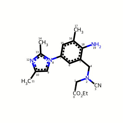 CCOC(=O)CN(C#N)Cc1cc(-n2cc(C)nc2C)cc(C)c1N